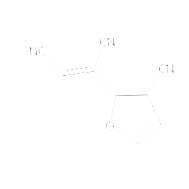 N#CC=C(C#N)C1OC=CC1C#N